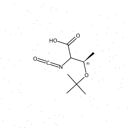 C[C@@H](OC(C)(C)C)C(N=C=O)C(=O)O